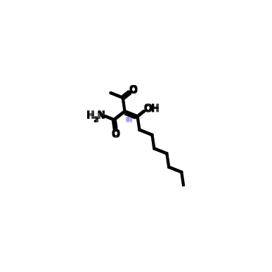 CCCCCCC/C(O)=C(/C(C)=O)C(N)=O